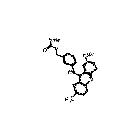 CNC(=O)OCc1cccc(Nc2c3cc(C)ccc3nc3ccc(OC)cc23)c1